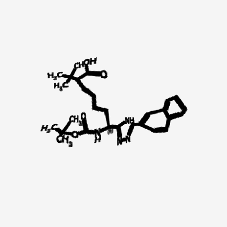 CC(C)(C)OC(=O)N[C@@H](CCCCC(C(=O)O)C(C)(C)C)c1nnc(-c2ccc3ccccc3c2)[nH]1